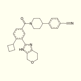 N#Cc1ccc(C2CCN(C(=O)c3ccc(C4CCC4)c(-c4nc5c([nH]4)COCC5)c3)CC2)cc1